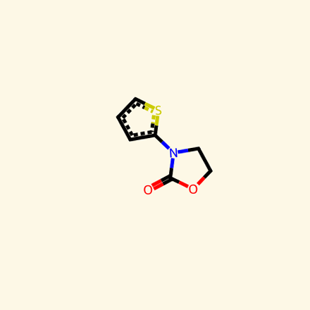 O=C1OCCN1c1cccs1